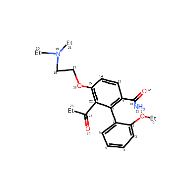 CCOc1ccccc1-c1c(C(N)=O)ccc(OCCN(CC)CC)c1C(=O)CC